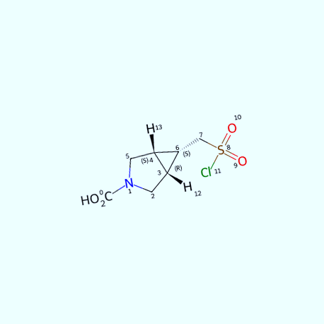 O=C(O)N1C[C@@H]2[C@H](C1)[C@@H]2CS(=O)(=O)Cl